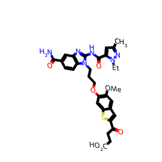 CCn1nc(C)cc1C(=O)Nc1nc2cc(C(N)=O)ccc2n1CCCOc1cc2sc(C(=O)CCC(=O)O)cc2cc1OC